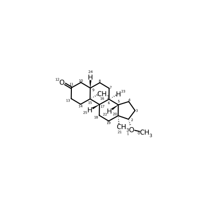 CO[C@H]1CC[C@H]2[C@@H]3CC[C@H]4CC(=O)CC[C@]4(C)[C@H]3CC[C@]12C